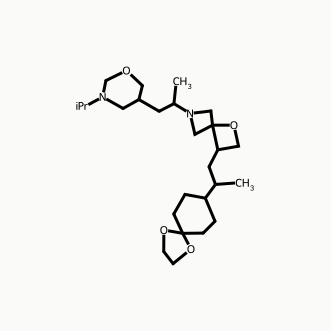 CC(CC1COC12CN(C(C)CC1COCN(C(C)C)C1)C2)C1CCC2(CC1)OCCO2